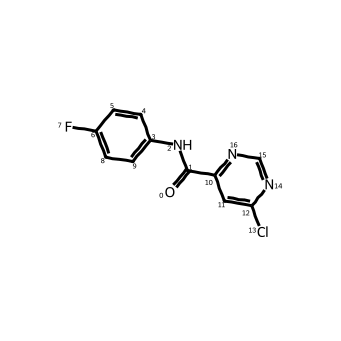 O=C(Nc1ccc(F)cc1)c1cc(Cl)ncn1